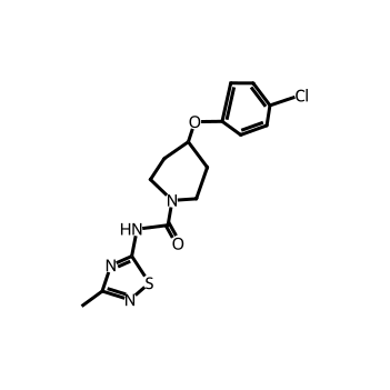 Cc1nsc(NC(=O)N2CCC(Oc3ccc(Cl)cc3)CC2)n1